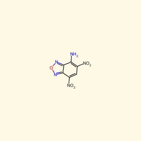 Nc1c([N+](=O)[O-])cc([N+](=O)[O-])c2nonc12